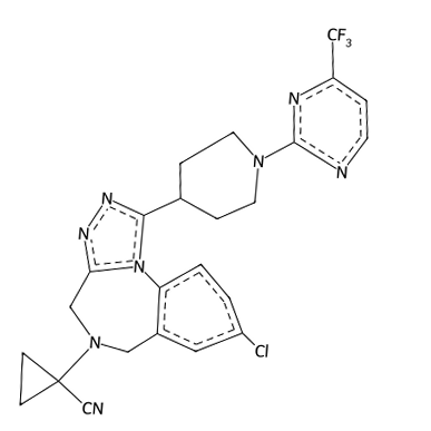 N#CC1(N2Cc3cc(Cl)ccc3-n3c(nnc3C3CCN(c4nccc(C(F)(F)F)n4)CC3)C2)CC1